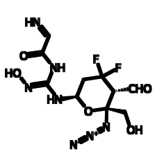 [N-]=[N+]=N[C@]1(CO)O[C@@H](N/C(=N/O)NC(=O)C=N)CC(F)(F)[C@@H]1C=O